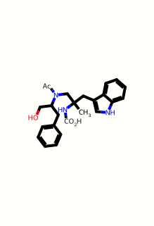 CC(=O)N(CC(C)(Cc1c[nH]c2ccccc12)NC(=O)O)C(CO)Cc1ccccc1